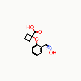 O=C(O)C1(Oc2ccccc2/C=N\O)CCC1